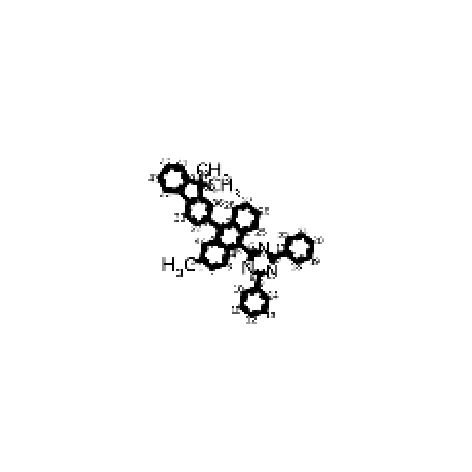 Cc1ccc2c(-c3nc(-c4ccccc4)nc(-c4ccccc4)n3)c3ccccc3c(-c3ccc4c(c3)C(C)(C)c3ccccc3-4)c2c1